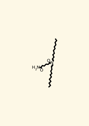 CCCCCCCCCCC=CN(C=CCCCCCCCCCC)C(=O)CCCCC(N)=O